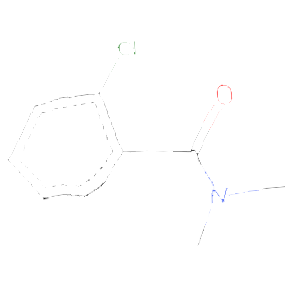 CN(C)C(=O)c1ccccc1Cl